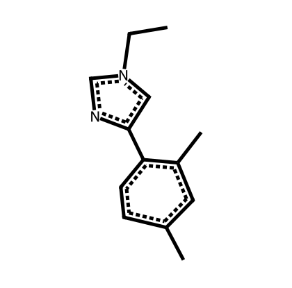 CCn1cnc(-c2ccc(C)cc2C)c1